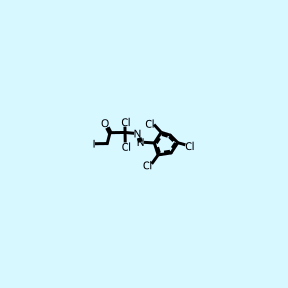 O=C(CI)C(Cl)(Cl)N=Nc1c(Cl)cc(Cl)cc1Cl